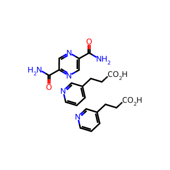 NC(=O)c1cnc(C(N)=O)cn1.O=C(O)CCc1cccnc1.O=C(O)CCc1cccnc1